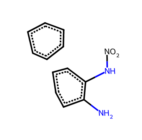 Nc1ccccc1N[N+](=O)[O-].c1ccccc1